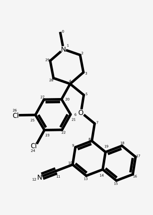 CN1CCC(COCc2cc(C#N)cc3ccccc23)(c2ccc(Cl)c(Cl)c2)CC1